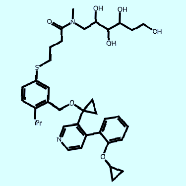 CC(C)c1ccc(SCCCC(=O)N(C)CC(O)C(O)C(O)CCO)cc1COC1(c2cnccc2-c2ccccc2OC2CC2)CC1